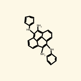 Nc1c(Nc2ccccc2)c2cccc3c(N)c(Nc4ccccc4)c4cccc1c4c32